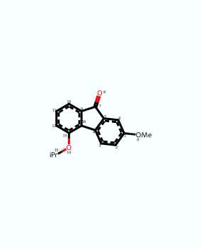 COc1ccc2c(c1)C(=O)c1cccc(OC(C)C)c1-2